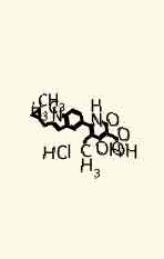 CCc1c(-c2ccc3c(c2)cc(CC2CC2C)n3C)[nH]c(=O)c(C(=O)O)c1O.Cl